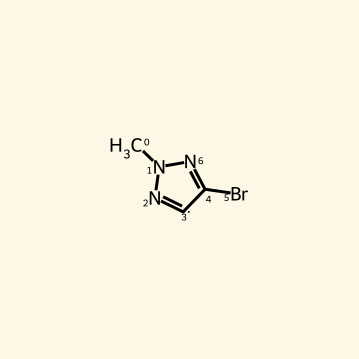 Cn1n[c]c(Br)n1